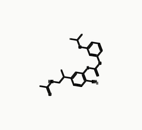 C=C(Oc1cccc(OC(C)C)c1)Sc1cc(C(C)CNC(C)=O)ccc1N